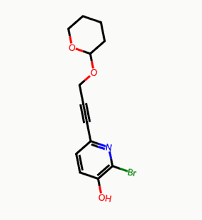 Oc1ccc(C#CCOC2CCCCO2)nc1Br